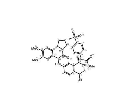 CC[C@@H]1CNC(=O)c2cc(NC(C(=O)N3CCC[C@@H]3c3cc(NC(=O)OC)ccc3S(=O)(=O)I)c3ccc(OC)c(OC)c3)ccc21